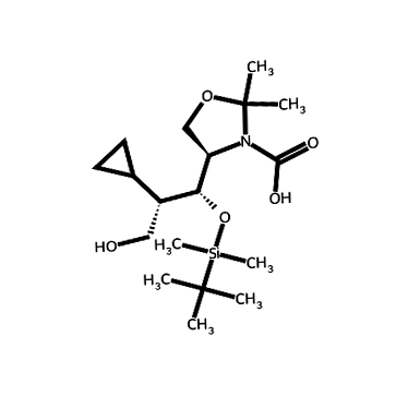 CC1(C)OC[C@H]([C@H](O[Si](C)(C)C(C)(C)C)[C@H](CO)C2CC2)N1C(=O)O